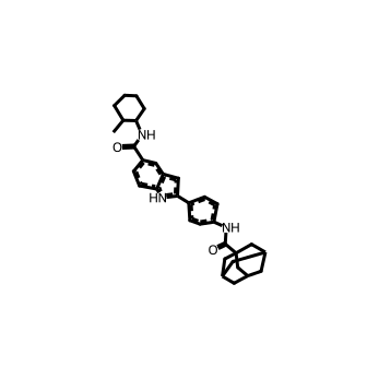 CC1CCCCC1NC(=O)c1ccc2[nH]c(-c3ccc(NC(=O)C45CC6CC(CC(C6)C4)C5)cc3)cc2c1